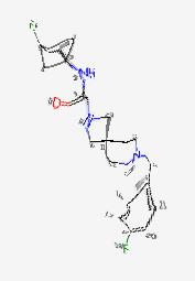 O=C(NC12CC(F)(C1)C2)N1CC2(CN(Cc3ccc(F)cc3)C2)C1